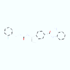 Nc1ccccc1NC(=O)c1ccc2c(c1)CCC2NC(=O)NCc1ccccc1F